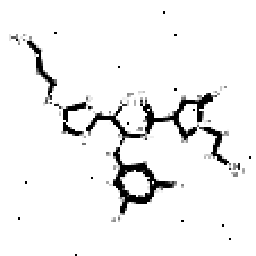 CCCCO[C@H]1CN[C@@H]([C@@H](O)[C@H](Cc2cc(F)cc(F)c2)NC(=O)C2CC(=O)N(CCC)C2)C1